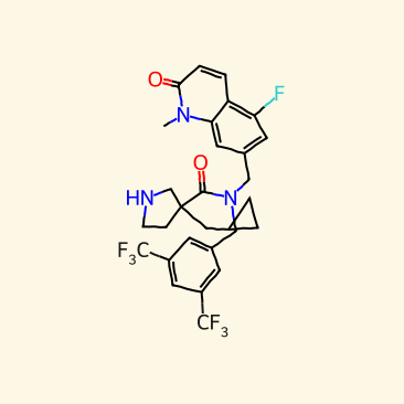 Cn1c(=O)ccc2c(F)cc(CN(Cc3cc(C(F)(F)F)cc(C(F)(F)F)c3)C(=O)C3(CC4CC4)CCNC3)cc21